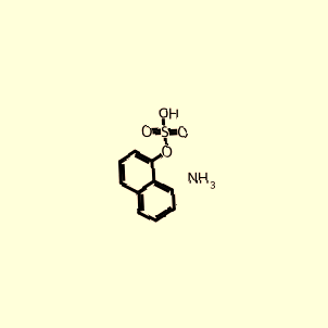 N.O=S(=O)(O)Oc1cccc2ccccc12